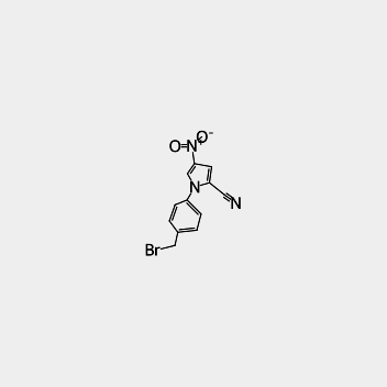 N#Cc1cc([N+](=O)[O-])cn1-c1ccc(CBr)cc1